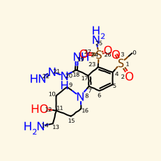 CS(=O)(=O)c1ccc(N2CCC(O)(CN)CC2)c(C(=N)NN=N)c1S(N)(=O)=O